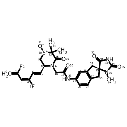 C=C(F)/C=C(F)\C=C\[C@H]1C[S+]([O-])C(C)(C)C(=O)N1CC(=O)Nc1ccc2c(c1)C[C@@]1(C2)C(=O)NC(=O)N1C